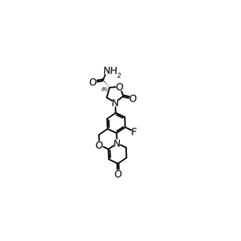 NC(=O)[C@H]1CN(c2cc(F)c3c(c2)COC2=CC(=O)CCN23)C(=O)O1